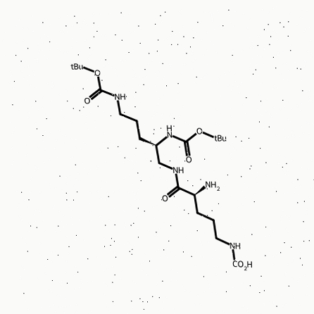 CC(C)(C)OC(=O)NCCC[C@H](CNC(=O)[C@@H](N)CCCNC(=O)O)NC(=O)OC(C)(C)C